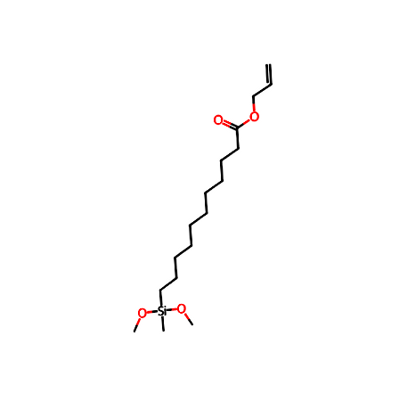 C=CCOC(=O)CCCCCCCCCC[Si](C)(OC)OC